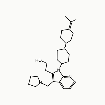 CC(C)=C1CCC(N2CCC(n3c(CCO)c(CN4CCCC4)c4cccnc43)CC2)CC1